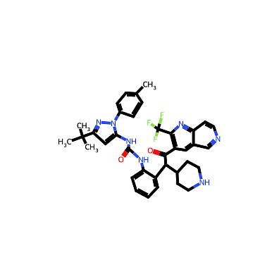 Cc1ccc(-n2nc(C(C)(C)C)cc2NC(=O)Nc2ccccc2C(C(=O)c2cc3cnccc3nc2C(F)(F)F)C2CCNCC2)cc1